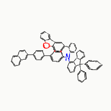 c1ccc(C2(c3ccccc3)c3ccccc3-c3c(N(c4ccc(-c5ccc(-c6ccc7ccccc7c6)cc5)cc4)c4ccccc4-c4ccc5oc6ccccc6c5c4)cccc32)cc1